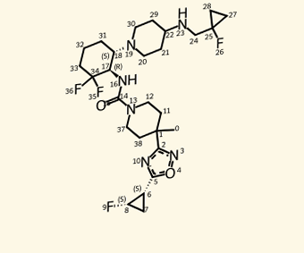 CC1(c2noc([C@@H]3C[C@@H]3F)n2)CCN(C(=O)N[C@@H]2[C@@H](N3CCC(NCC4(F)CC4)CC3)CCCC2(F)F)CC1